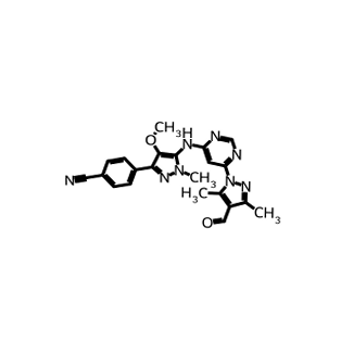 COc1c(-c2ccc(C#N)cc2)nn(C)c1Nc1cc(-n2nc(C)c(C=O)c2C)ncn1